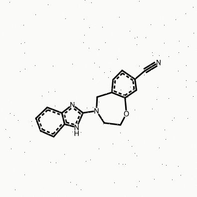 N#Cc1ccc2c(c1)OCCN(c1nc3ccccc3[nH]1)C2